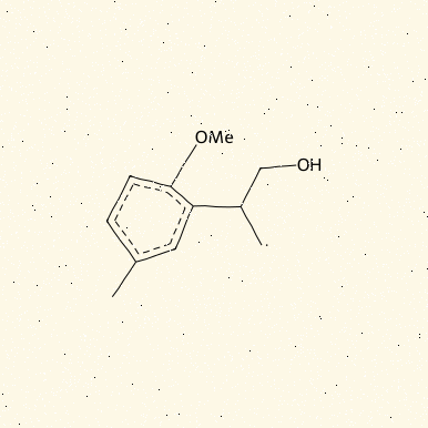 [CH2]C(CO)c1cc(C)ccc1OC